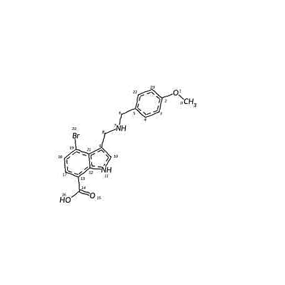 COc1ccc(CNCc2c[nH]c3c(C(=O)O)ccc(Br)c23)cc1